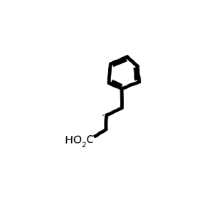 O=C(O)C[CH]Cc1ccccc1